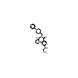 CCNc1ncc2c(n1)N1CCC[C@H]1CN(CC1CCN(c3ccncc3)CC1)C2=O